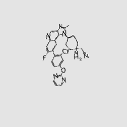 Cc1nc2cnc3cc(F)c(-c4ccc(Oc5ncccn5)cc4Cl)cc3c2n1C1CCC(N)(CC#N)CC1